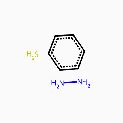 NN.S.c1ccccc1